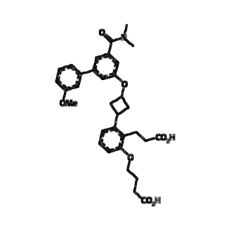 COc1cccc(-c2cc(OC3CC(c4cccc(OCCCC(=O)O)c4CCC(=O)O)C3)cc(C(=O)N(C)C)c2)c1